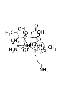 CC(C)CC(N)C(=O)C(CC(=O)O)(C(=O)C1CCCN1)C(C(=O)O)(C(=O)C(N)CCCCN)N(C(=O)CN)C(=O)C(N)C(C)O